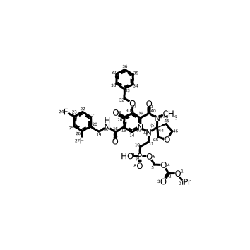 CC(C)OC(=O)OCOP(=O)(O)CCN1n2cc(C(=O)NCc3ccc(F)cc3F)c(=O)c(OCc3ccccc3)c2C(=O)N(C)[C@@]12CCOC2